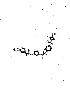 Cc1cc(C(=O)NC[C@@H]2CC[C@H](Nc3nc4ccc(S(=O)(=O)N5CC(O)C5)cc4s3)C2)on1